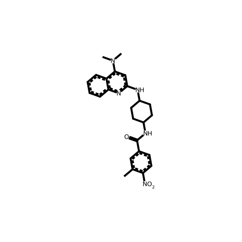 Cc1cc(C(=O)NC2CCC(Nc3cc(N(C)C)c4ccccc4n3)CC2)ccc1[N+](=O)[O-]